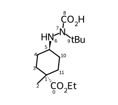 CCOC(=O)[C@]1(C)CC[C@@H](NN(C(=O)O)C(C)(C)C)CC1